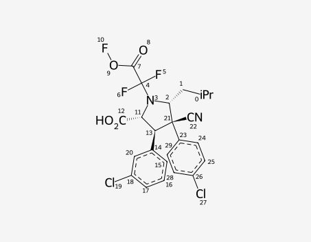 CC(C)C[C@H]1N(C(F)(F)C(=O)OF)[C@@H](C(=O)O)[C@H](c2cccc(Cl)c2)[C@@]1(C#N)c1ccc(Cl)cc1